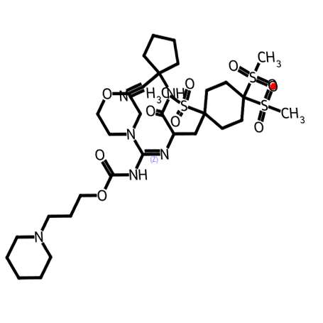 CS(=O)(=O)C1(CC(/N=C(/NC(=O)OCCCN2CCCCC2)N2CCOCC2)C(=O)NC2(C#N)CCCC2)CCC(S(C)(=O)=O)(S(C)(=O)=O)CC1